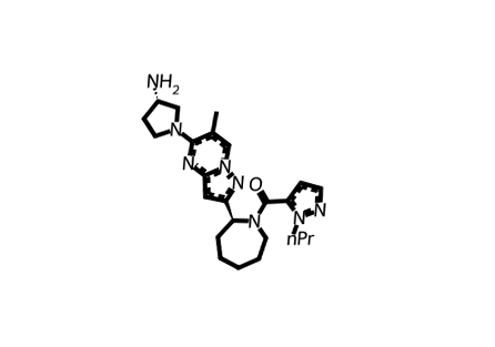 CCCn1nccc1C(=O)N1CCCCC[C@H]1c1cc2nc(N3CC[C@H](N)C3)c(C)cn2n1